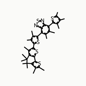 Cc1sc(-c2c(C)c(C)c(-c3sc(-c4sc5c(c4C)C(C)(C)C(C)(C)c4c-5sc(C)c4C)c(C)c3C)c3nsnc23)c(C)c1C